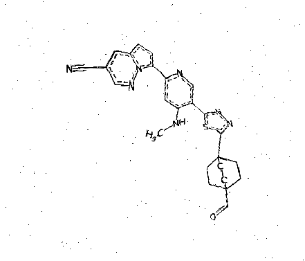 CNc1cc(-c2ccc3cc(C#N)cnn23)ncc1-c1nnc(C23CCC(C=O)(CC2)CC3)s1